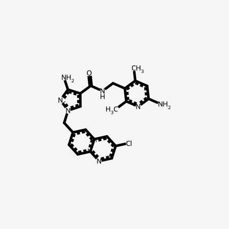 Cc1cc(N)nc(C)c1CNC(=O)c1cn(Cc2ccc3ncc(Cl)cc3c2)nc1N